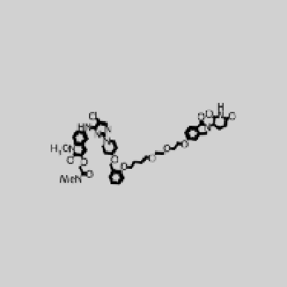 CNC(=O)COc1cc2cc(Nc3nc(N4CCC(OCc5ccccc5OCCCCOCCOCCOc5ccc6c(c5)CN(C5CCC(=O)NC5=O)C6=O)CC4)ncc3Cl)ccc2n(C)c1=O